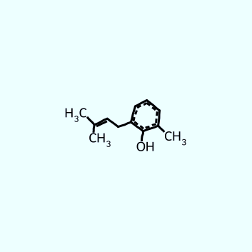 CC(C)=CCc1cccc(C)c1O